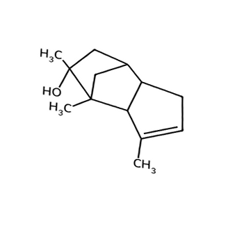 CC1=CCC2C3CC(C)(O)C(C)(C3)C12